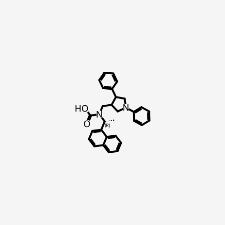 C[C@H](c1cccc2ccccc12)N(CC1CN(c2ccccc2)CC1c1ccccc1)C(=O)O